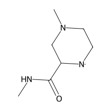 CNC(=O)C1CN(C)CC[N]1